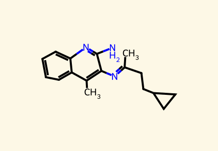 C/C(CCC1CC1)=N\c1c(N)nc2ccccc2c1C